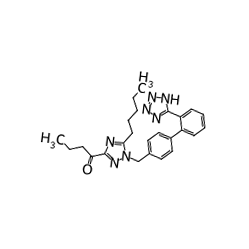 CCCCCc1nc(C(=O)CCC)nn1Cc1ccc(-c2ccccc2-c2nnn[nH]2)cc1